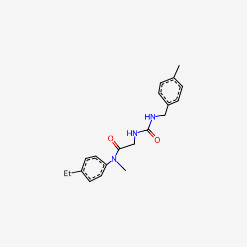 CCc1ccc(N(C)C(=O)CNC(=O)NCc2ccc(C)cc2)cc1